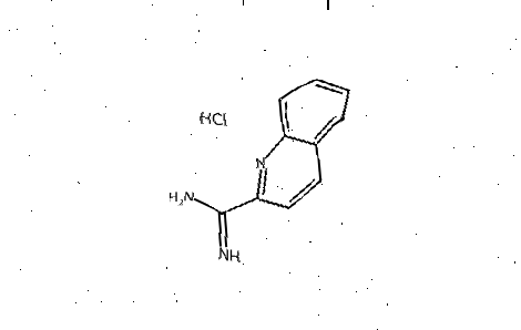 Cl.N=C(N)c1ccc2ccccc2n1